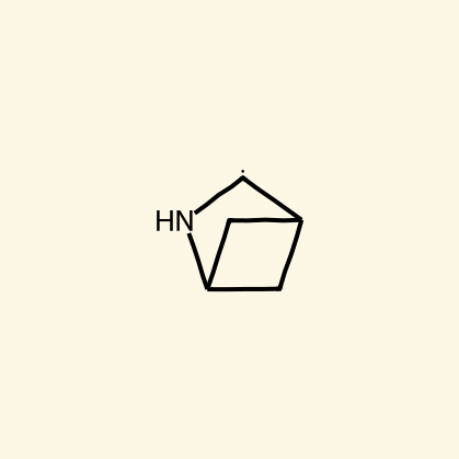 [CH]1NC2CC1C2